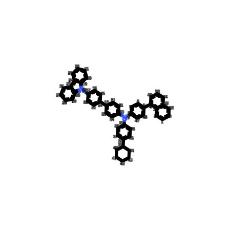 c1ccc2c(-c3ccc(N(c4ccc(-c5ccc(-n6c7ccccc7c7ccccc76)cc5)cc4)c4ccc(C5CCCCC5)cc4)cc3)cccc2c1